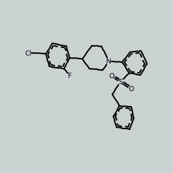 O=S(=O)(Cc1ccccc1)c1ccccc1N1CCC(c2ccc(Cl)cc2F)CC1